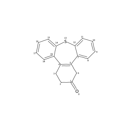 O=C1CCC2=C(C1)c1ccccc1Sc1ccccc12